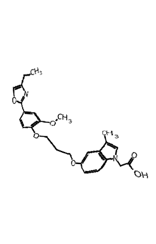 CCc1coc(-c2ccc(OCCCOc3ccc4c(c3)c(C)cn4CC(=O)O)c(OC)c2)n1